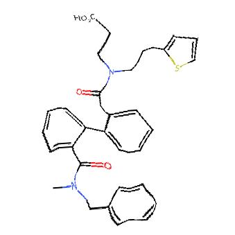 CN(Cc1ccccc1)C(=O)c1ccccc1-c1ccccc1C(=O)N(CCC(=O)O)CCc1cccs1